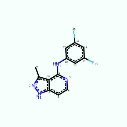 Cc1n[nH]c2ccnc(Nc3cc(F)cc(F)c3)c12